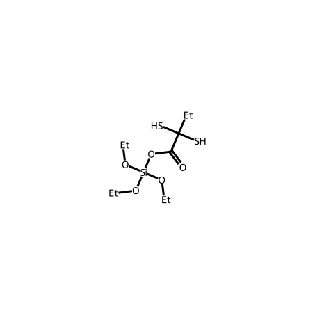 CCO[Si](OCC)(OCC)OC(=O)C(S)(S)CC